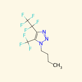 CCCCn1nnc(C(F)(F)C(F)(F)F)c1C(F)(F)F